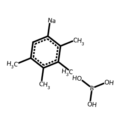 Cc1c[c]([Na])c(C)c(C)c1C.OB(O)O